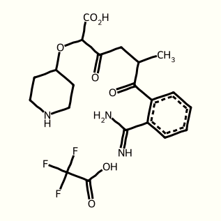 CC(CC(=O)C(OC1CCNCC1)C(=O)O)C(=O)c1ccccc1C(=N)N.O=C(O)C(F)(F)F